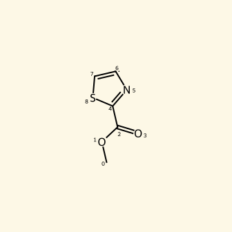 COC(=O)c1n[c]cs1